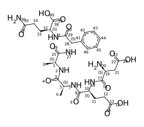 C[C@H](NC(=O)[C@H](C)NC(=O)[C@H](CCC(=O)O)NC(=O)[C@@H](N)CC(=O)O)C(=O)N[C@H](C(=O)N[C@@H](CCC(N)=O)C(=O)O)c1ccccc1